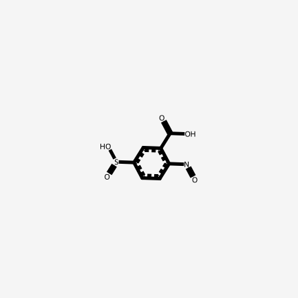 O=Nc1ccc(S(=O)O)cc1C(=O)O